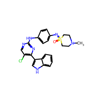 CN1CCS(=O)(=Nc2ccc(Nc3ncc(Cl)c(-c4c[nH]c5ccccc45)n3)cc2)CC1